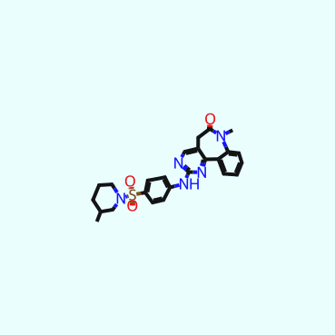 CC1CCCN(S(=O)(=O)c2ccc(Nc3ncc4c(n3)-c3ccccc3N(C)C(=O)C4)cc2)C1